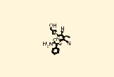 CCc1c(C#N)c(SC(C(N)=O)c2ccccc2)nc(N2CC(CO)C2)c1C#N